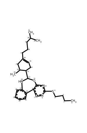 CCCCSc1nnc2c(n1)OC(C1CC=C(CCCC(C)C)CC1C)Nc1ccccc1-2